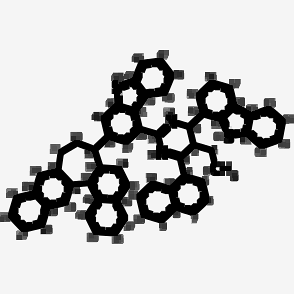 CCC1C(c2cccc3ccccc23)=NC(c2cc(C3CCc4cc5ccccc5cc4-c4c3ccc3ccccc43)cc3sc4ccccc4c23)=NC1c1cccc2c1sc1ccccc12